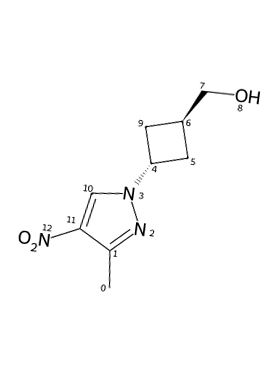 Cc1nn([C@H]2C[C@H](CO)C2)cc1[N+](=O)[O-]